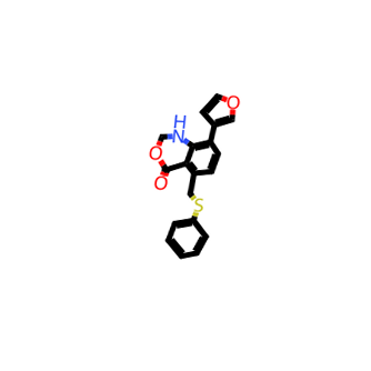 O=C1OCNc2c(-c3ccoc3)ccc(CSc3ccccc3)c21